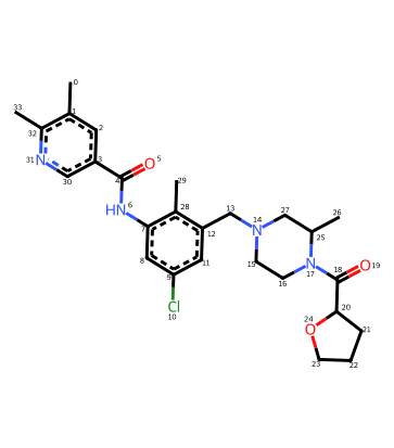 Cc1cc(C(=O)Nc2cc(Cl)cc(CN3CCN(C(=O)C4CCCO4)C(C)C3)c2C)cnc1C